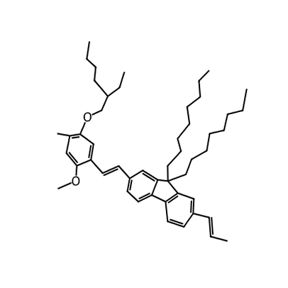 C/C=C/c1ccc2c(c1)C(CCCCCCCC)(CCCCCCCC)c1cc(/C=C/c3cc(OCC(CC)CCCC)c(C)cc3OC)ccc1-2